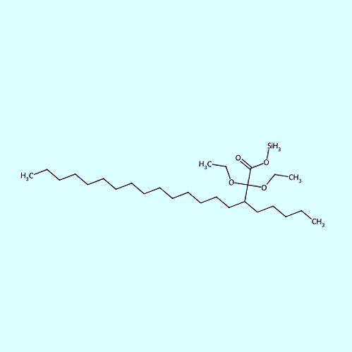 CCCCCCCCCCCCCCCC(CCCCC)C(OCC)(OCC)C(=O)O[SiH3]